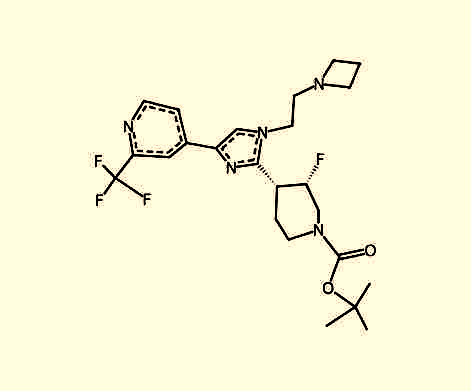 CC(C)(C)OC(=O)N1CC[C@H](c2nc(-c3ccnc(C(F)(F)F)c3)cn2CCN2CCC2)[C@H](F)C1